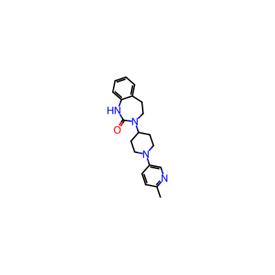 Cc1ccc(N2CCC(N3CCc4ccccc4NC3=O)CC2)cn1